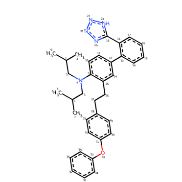 CC(C)CN(CC(C)C)c1ccc(-c2ccccc2-c2nnn[nH]2)cc1CCc1ccc(Oc2ccccc2)cc1